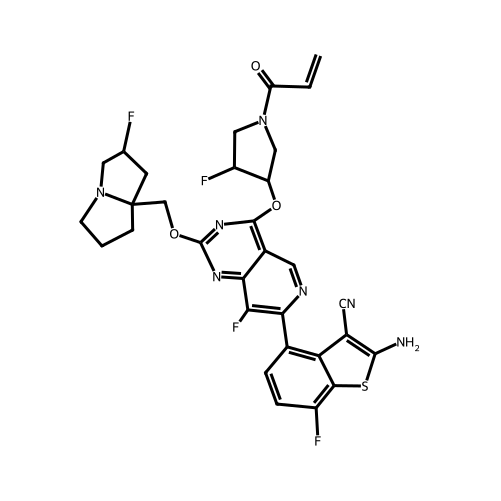 C=CC(=O)N1CC(F)C(Oc2nc(OCC34CCCN3CC(F)C4)nc3c(F)c(-c4ccc(F)c5sc(N)c(C#N)c45)ncc23)C1